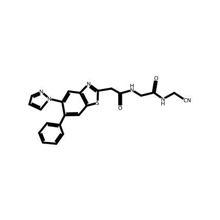 N#CCNC(=O)CNC(=O)Cc1nc2cc(-n3cccn3)c(-c3ccccc3)cc2s1